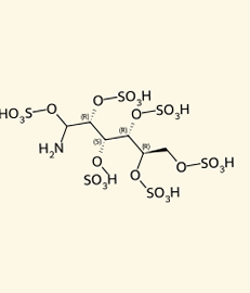 NC(OS(=O)(=O)O)[C@H](OS(=O)(=O)O)[C@@H](OS(=O)(=O)O)[C@H](OS(=O)(=O)O)[C@@H](COS(=O)(=O)O)OS(=O)(=O)O